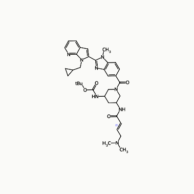 CN(C)C/C=C/C(=O)NC1CC(NC(=O)OC(C)(C)C)CN(C(=O)c2ccc3c(c2)nc(-c2cc4cccnc4n2CC2CC2)n3C)C1